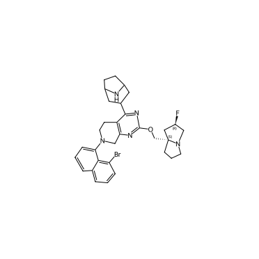 F[C@H]1CN2CCC[C@@]2(COc2nc3c(c(C4CC5CCC(C4)N5)n2)CCN(c2cccc4cccc(Br)c24)C3)C1